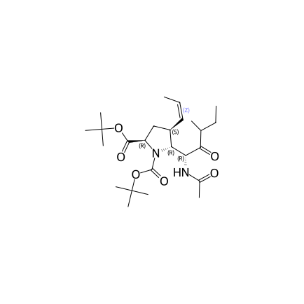 C/C=C\[C@@H]1C[C@H](C(=O)OC(C)(C)C)N(C(=O)OC(C)(C)C)[C@H]1[C@@H](NC(C)=O)C(=O)C(C)CC